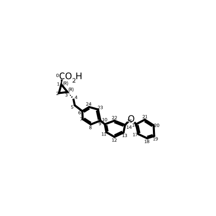 O=C(O)[C@@H]1C[C@H]1CCc1ccc(-c2cccc(Oc3ccccc3)c2)cc1